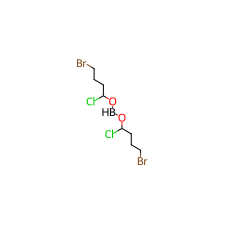 ClC(CCCBr)OBOC(Cl)CCCBr